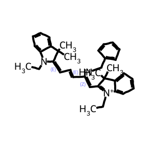 CCN1/C(=C/C=C/C(=C/C2=[N+](CC)c3ccccc3C2(C)C)NCc2ccccc2)C(C)(C)c2ccccc21